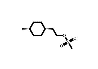 CS(=O)(=O)OCC[C@H]1CC[C@@H](C)CC1